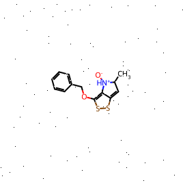 CC1C=C2SSC(OCc3ccccc3)=C2[NH+]1[O-]